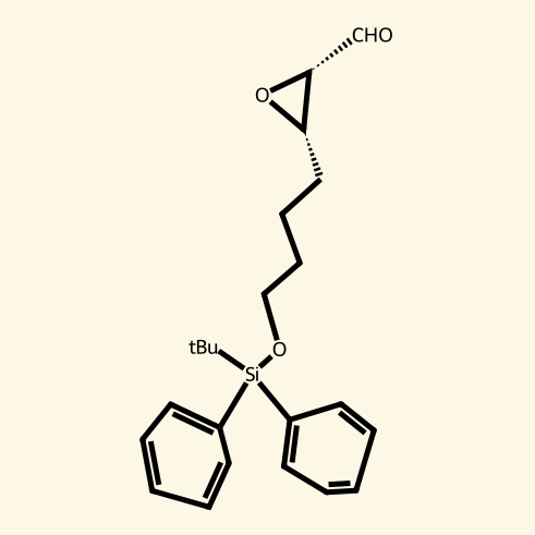 CC(C)(C)[Si](OCCCC[C@@H]1O[C@@H]1C=O)(c1ccccc1)c1ccccc1